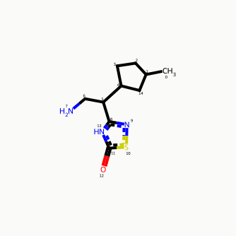 CC1CCC(C(CN)c2nsc(=O)[nH]2)C1